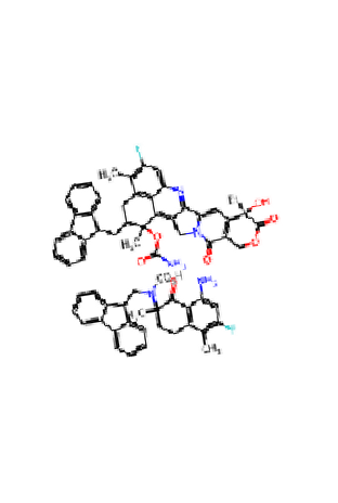 CC[C@@]1(O)C(=O)OCc2c1cc1n(c2=O)Cc2c-1nc1cc(F)c(C)c3c1c2C(C)(OC(N)=O)C(CC1c2ccccc2-c2ccccc21)C3.Cc1c(F)cc(N)c2c1CCC(C)(N(CC1c3ccccc3-c3ccccc31)C(=O)O)C2=O